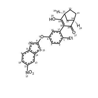 CCc1ccc(Oc2nc3ccc([N+](=O)[O-])cc3s2)cc1C1=C(O)[C@H]2CC[C@H](C2)C1=O